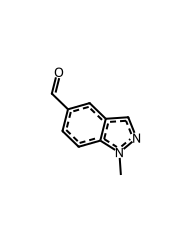 Cn1ncc2cc(C=O)ccc21